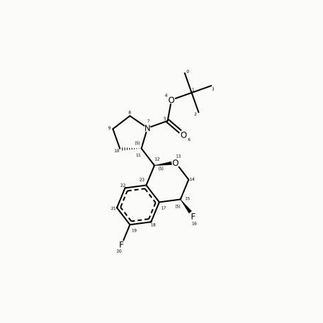 CC(C)(C)OC(=O)N1CCC[C@H]1[C@H]1OC[C@@H](F)c2cc(F)ccc21